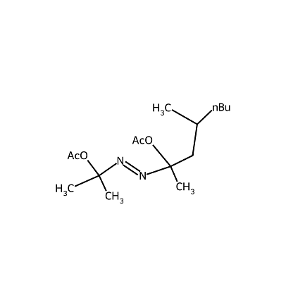 CCCCC(C)CC(C)(N=NC(C)(C)OC(C)=O)OC(C)=O